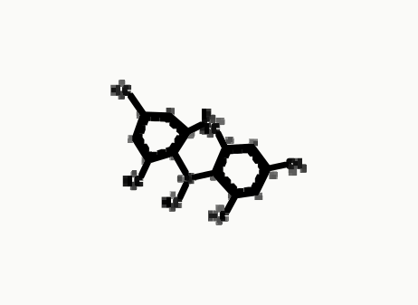 Cc1cc(C)c([Si](C)c2c(C)cc(C)cc2C)c(C)c1